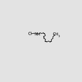 CCCCC/C=C\C/C=C\C/C=C\C/C=C\CCCCNCCCl